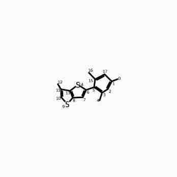 Cc1cc(C)c(-c2cc3scc(C)c3s2)c(C)c1